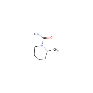 CC1CCCCN1C(N)=O